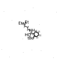 CCN(CC)CCCNC(O)c1ccccc1C(C)(C)C